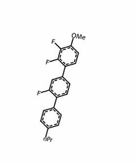 CCCc1ccc(-c2ccc(-c3ccc(OC)c(F)c3F)cc2F)cc1